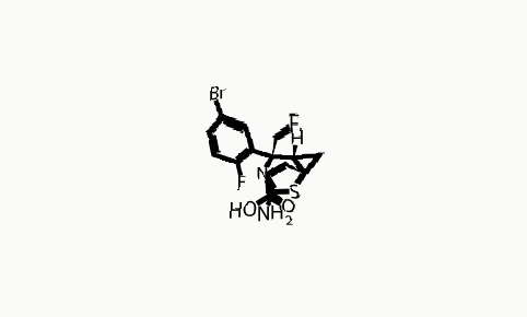 NC1=N[C@](CF)(c2cc(Br)ccc2F)[C@@H]2C[C@]2(C=CC(=O)O)S1